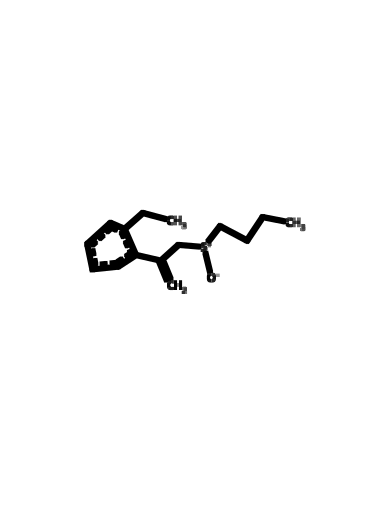 C=C(C[S+]([O-])CCCC)c1ccccc1CC